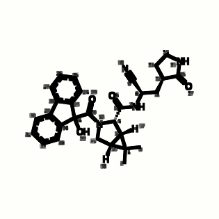 CC1(C)[C@H]2[C@@H](C(=O)N[C@@H](C#N)C[C@H]3CCNC3=O)N(C(=O)C3(O)c4ccccc4-c4ccccc43)C[C@H]21